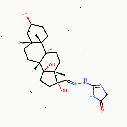 C[C@]12CC[C@H](O)C[C@H]1CC[C@@H]1[C@@H]2CC[C@]2(C)[C@@](O)(/C=N/NC3=NCC(=O)N3)CC[C@]12O